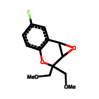 COCC1(COC)Oc2ccc(F)cc2C2OC21